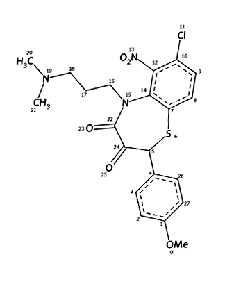 COc1ccc(C2Sc3ccc(Cl)c([N+](=O)[O-])c3N(CCCN(C)C)C(=O)C2=O)cc1